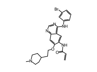 C=CC(=O)Nc1cc2c(Nc3cccc(Br)c3)ncnc2cc1OCCC1CCN(C)CC1